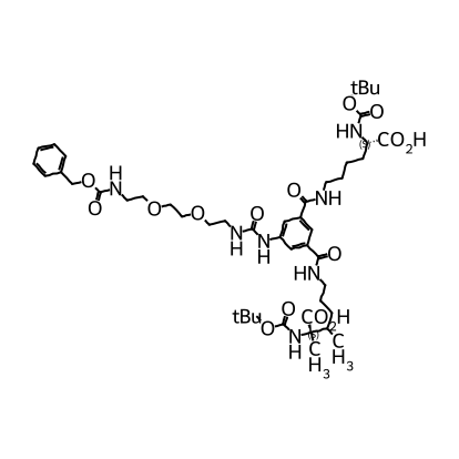 CC(CCCNC(=O)c1cc(NC(=O)NCCOCCOCCNC(=O)OCc2ccccc2)cc(C(=O)NCCCC[C@H](NC(=O)OC(C)(C)C)C(=O)O)c1)[C@](C)(NC(=O)OC(C)(C)C)C(=O)O